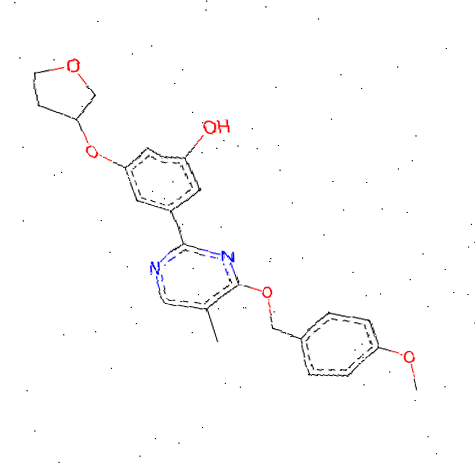 COc1ccc(COc2nc(-c3cc(O)cc(OC4CCOC4)c3)ncc2C)cc1